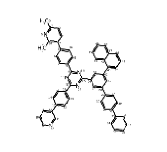 Cc1ccc(-c2ccc(-c3nc(-c4ccc(-c5cccnc5)cc4)nc(-c4cc(-c5ccc(-c6ccccc6)cc5)cc(-c5cccc6ccccc56)c4)n3)cc2)c(C)n1